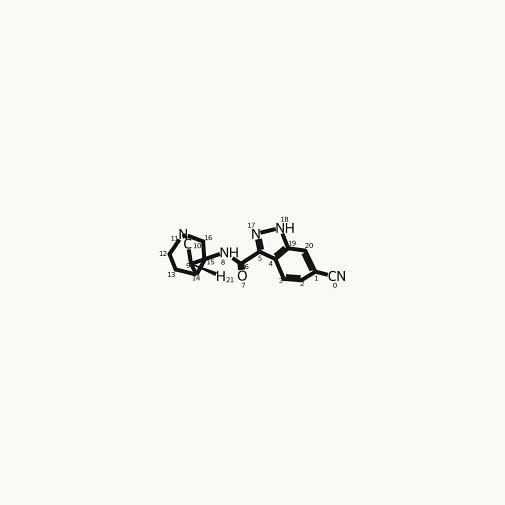 N#Cc1ccc2c(C(=O)N[C@H]3CN4CCC3CC4)n[nH]c2c1